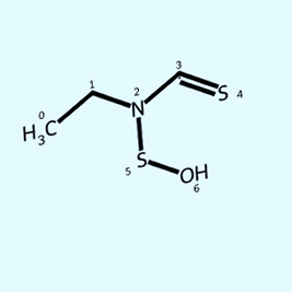 CCN([C]=S)SO